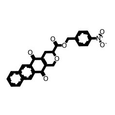 O=C1C2=C(CC(C(=O)OCc3ccc([N+](=O)[O-])cc3)OC2)C(=O)c2cc3ccccc3cc21